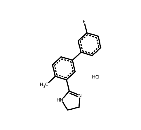 Cc1ccc(-c2cccc(F)c2)cc1C1=NCCN1.Cl